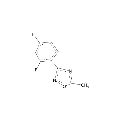 Cc1nc(-c2ccc(F)cc2F)no1